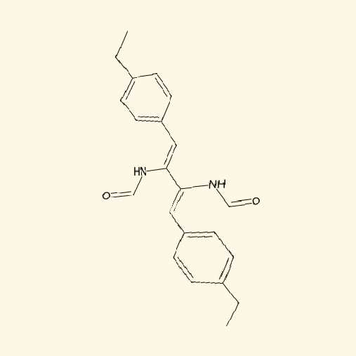 CCc1ccc(C=C(NC=O)C(=Cc2ccc(CC)cc2)NC=O)cc1